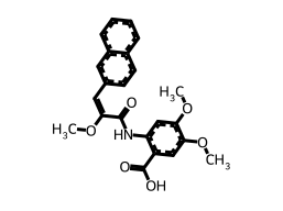 CO/C(=C/c1ccc2ccccc2c1)C(=O)Nc1cc(OC)c(OC)cc1C(=O)O